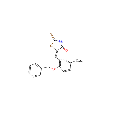 COc1ccc(OCc2ccccc2)c(C=C2SC(=S)NC2=O)c1